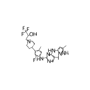 Cc1cc(Nc2nc(Nc3cc(C)c(C4CCN(CC(O)C(F)(F)F)CC4)cc3F)ncc2I)n[nH]1